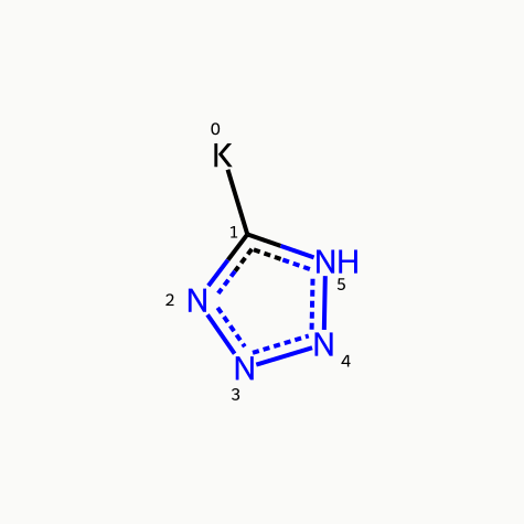 [K][c]1nnn[nH]1